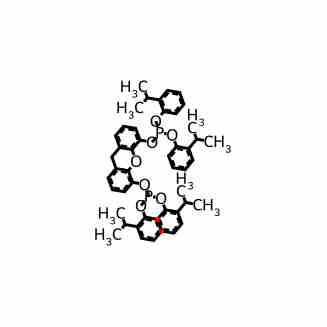 CC(C)c1ccccc1OP(Oc1ccccc1C(C)C)Oc1cccc2c1Oc1c(cccc1OP(Oc1ccccc1C(C)C)Oc1ccccc1C(C)C)C2